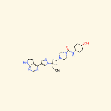 N#CC[C@]1(n2cc(-c3ncnc4[nH]ccc34)cn2)C[C@H](N2CCN(C(=O)N[C@H]3CC[C@H](O)CC3)CC2)C1